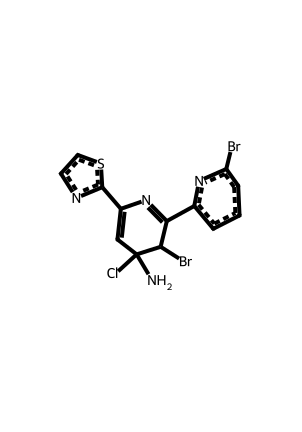 NC1(Cl)C=C(c2nccs2)N=C(c2cccc(Br)n2)C1Br